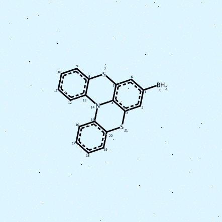 Bc1cc2c3c(c1)Sc1ccccc1N3c1ccccc1S2